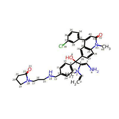 C=CN(C)/C(=C\N)C(O)(c1ccc(CNCCCN2CCCC2=O)cc1)c1ccc2c(c1)c(-c1cccc(Cl)c1)cc(=O)n2C